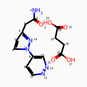 NC(=O)Cc1ccn(-c2ccnnc2)n1.O=C(O)CCC(=O)O